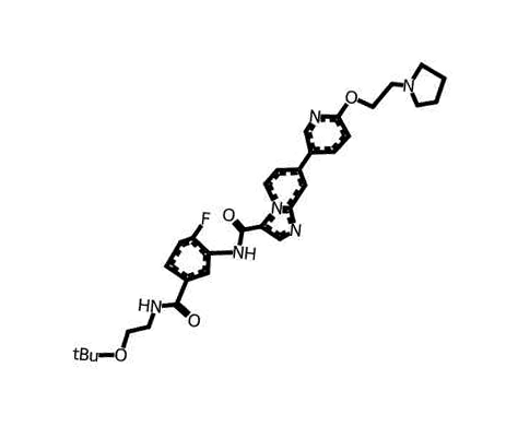 CC(C)(C)OCCNC(=O)c1ccc(F)c(NC(=O)c2cnc3cc(-c4ccc(OCCN5CCCC5)nc4)ccn23)c1